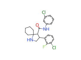 O=C(Nc1cccc(Cl)c1)C1C(c2cccc(Cl)c2F)CNC12CCCCC2